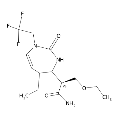 CCOC[C@@H](C(N)=O)C1NC(=O)N(CC(F)(F)F)C=CC1CC